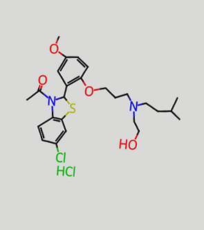 COc1ccc(OCCCN(CCO)CCC(C)C)c(C2Sc3cc(Cl)ccc3N2C(C)=O)c1.Cl